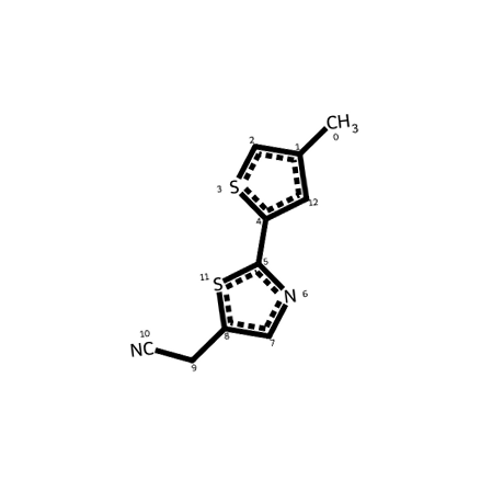 Cc1csc(-c2ncc(CC#N)s2)c1